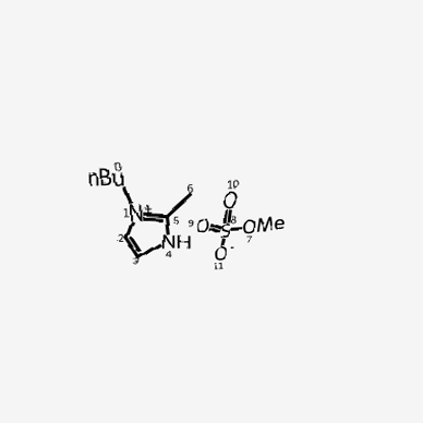 CCCC[n+]1cc[nH]c1C.COS(=O)(=O)[O-]